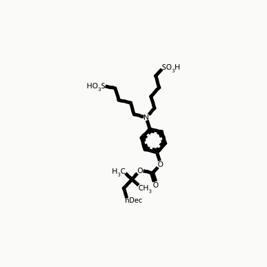 CCCCCCCCCCCC(C)(C)OC(=O)Oc1ccc(N(CCCCS(=O)(=O)O)CCCCS(=O)(=O)O)cc1